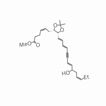 CC/C=C\CC(O)/C=C/C#C/C=C/C=C/[C@H]1OC(C)(C)O[C@H]1C/C=C\CCC(=O)OC